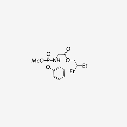 CCC(CC)COC(=O)CNP(=O)(OC)Oc1ccccc1